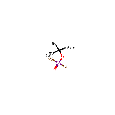 CCCCCC(CC)(CC)OP(=O)(S)S.[Cu]